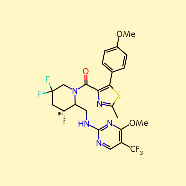 COc1ccc(-c2sc(C)nc2C(=O)N2CC(F)(F)C[C@@H](C)C2CNc2ncc(C(F)(F)F)c(OC)n2)cc1